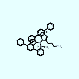 CCCCC1=Cc2c(-c3ccccc3)ccc(-c3ccccc3)c2[CH]1[Zr]([CH]1C(CCCC)=Cc2c(-c3ccccc3)ccc(-c3ccccc3)c21)[SiH](C)C